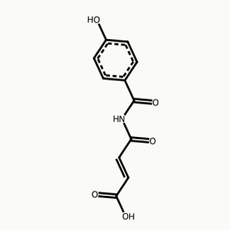 O=C(O)C=CC(=O)NC(=O)c1ccc(O)cc1